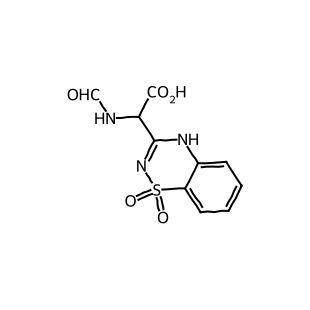 O=CNC(C(=O)O)C1=NS(=O)(=O)c2ccccc2N1